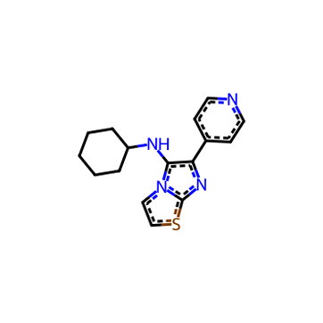 c1cc(-c2nc3sccn3c2NC2CCCCC2)ccn1